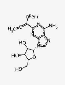 C=C=C(CCCCC)c1nc(N)c2ncn([C@@H]3O[C@H](CO)[C@@H](O)[C@H]3O)c2n1